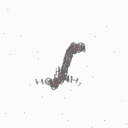 CCc1c2c(nc3ccc(O)cc13)-c1cc3c(c(=O)n1C2)COC(=O)[C@@]3(CC)OC(=O)OCc1ccc(NC(=O)C(CCCCN)NC(=O)COCC(=O)NCCOCCOCCOCCOCCOCCOCCOCCOCCn2cc(CNC(=O)[C@H]3CC[C@H](CN4C(=O)C=CC4=O)CC3)nn2)cc1